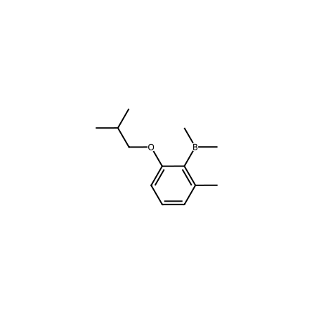 CB(C)c1c(C)cccc1OCC(C)C